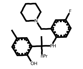 CCCC(C)(Pc1ccc(F)cc1CN1CCCCC1)c1cc(C)ccc1O